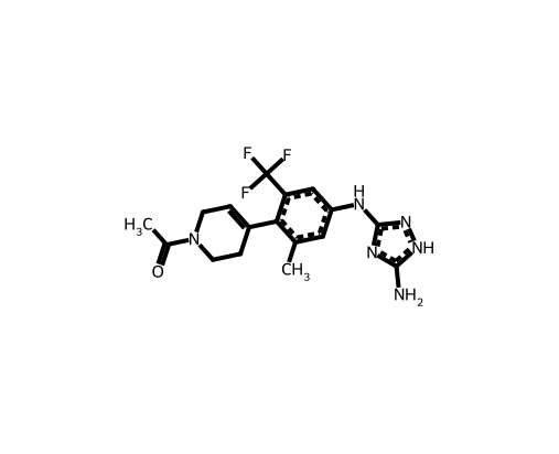 CC(=O)N1CC=C(c2c(C)cc(Nc3n[nH]c(N)n3)cc2C(F)(F)F)CC1